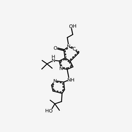 CC(C)(O)Cc1ccnc(Nc2cc3ccn(CCO)c(=O)c3c(NC(C)(C)C)n2)c1